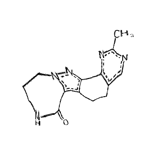 Cc1ncc2c(n1)-c1nn3c(c1CC2)C(=O)NCCC3